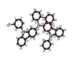 Fc1cccc(-n2c3ccccc3c3ccc(N(c4ccc5c6ccccc6n(-c6ccccc6)c5c4)c4ccccc4-c4ccccc4)cc32)c1